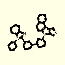 c1ccc(-n2c(-c3cccc(-c4cccc(-n5c6cscc6c6c7ccccc7ccc65)c4)c3)nc3ccccc32)cc1